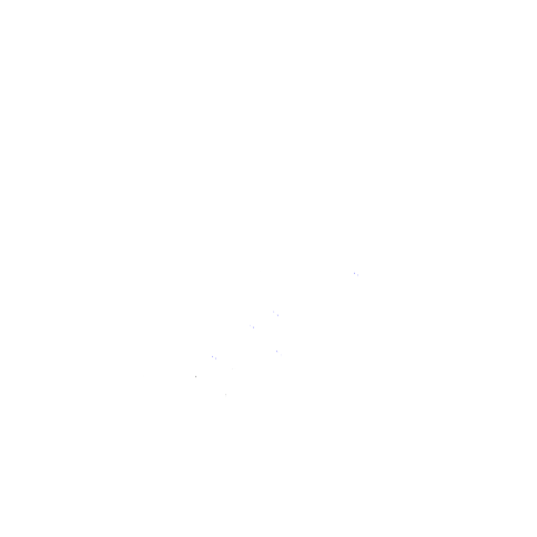 Cc1c(Oc2ncc(Cl)cc2OCC(F)F)ccc2nc(C(=O)NC3(C)CCS(=O)(=O)CC3)nn12